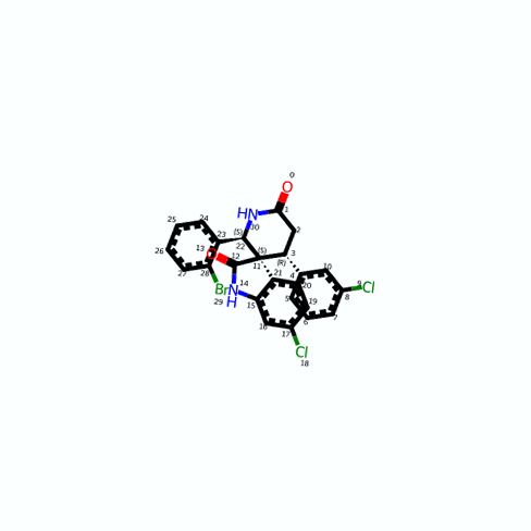 O=C1C[C@H](c2cccc(Cl)c2)[C@@]2(C(=O)Nc3cc(Cl)ccc32)[C@@H](c2ccccc2Br)N1